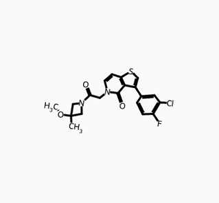 COC1(C)CN(C(=O)Cn2ccc3scc(-c4ccc(F)c(Cl)c4)c3c2=O)C1